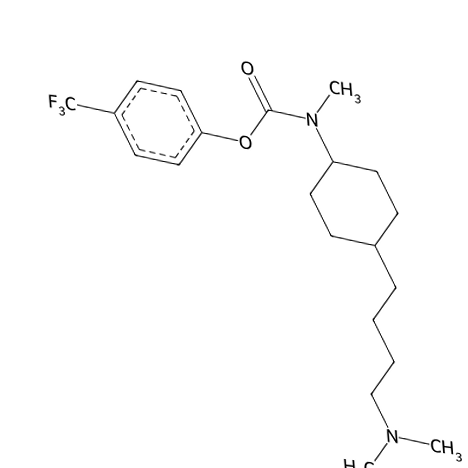 CN(C)CCCCC1CCC(N(C)C(=O)Oc2ccc(C(F)(F)F)cc2)CC1